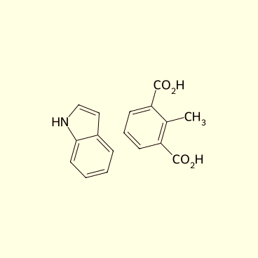 Cc1c(C(=O)O)cccc1C(=O)O.c1ccc2[nH]ccc2c1